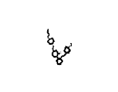 CCCC[C@H]1CC[C@H](CCC2CCC(c3ccccc3CCc3ccc(Cl)cc3)C(F)C2)CC1